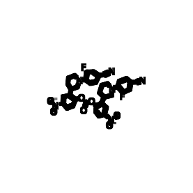 N#Cc1ccc(N2CCCC(c3cc([N+](=O)[O-])ccc3OC(=O)Oc3ccc([N+](=O)[O-])cc3C3CCCN(c4ccc(C#N)cc4F)C3)C2)c(F)c1